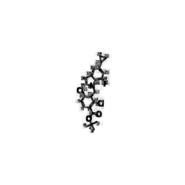 CC(C)(C)OC(=O)c1ccc(Cl)c(Cn2ccc3cc(C4CC4)cc(F)c32)c1Cl